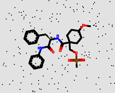 COC1CCC(COS(C)(=O)=O)(C(=O)N[C@@H](Cc2ccccc2)C(=O)Nc2ccccc2)CC1